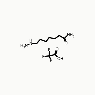 NNCCCCCCC(N)=O.O=C(O)C(F)(F)F